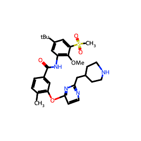 COc1c(NC(=O)c2ccc(C)c(Oc3ccnc(CC4CCNCC4)n3)c2)cc(C(C)(C)C)cc1S(C)(=O)=O